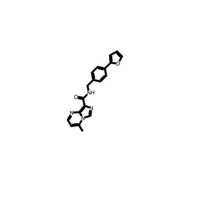 Cc1ccnc2c(C(=O)NCc3ccc(-c4ccco4)cc3)ncn12